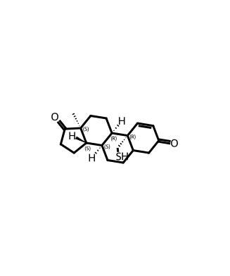 C[C@]12CC[C@@H]3[C@@H](CCC4CC(=O)C=C[C@@]43CS)[C@@H]1CCC2=O